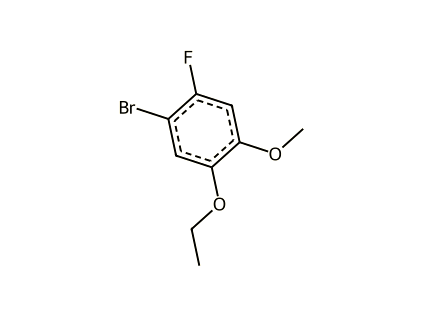 CCOc1cc(Br)c(F)cc1OC